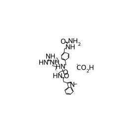 CC(=O)O.Cn1cc(CC(=O)N[C@H](CCCNC(=N)N)C(=O)NCc2ccc(CNC(N)=O)cc2)c2ccccc21